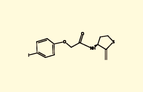 C=C1SCC[C@@H]1NC(=O)COc1ccc(I)cc1